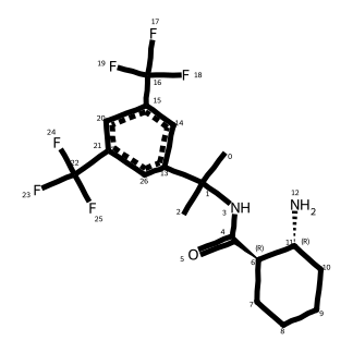 CC(C)(NC(=O)[C@@H]1CCCC[C@H]1N)c1cc(C(F)(F)F)cc(C(F)(F)F)c1